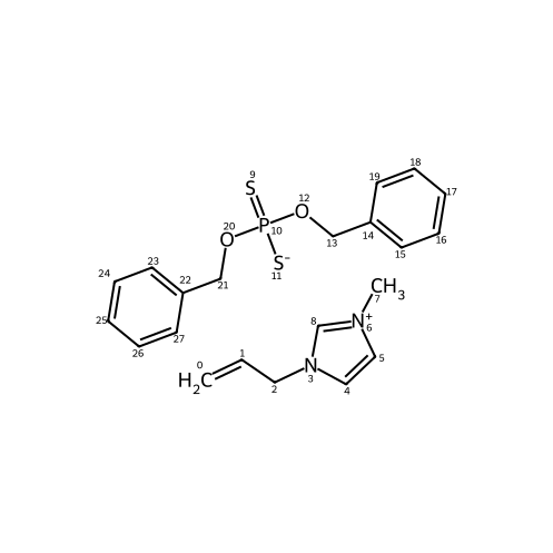 C=CCn1cc[n+](C)c1.S=P([S-])(OCc1ccccc1)OCc1ccccc1